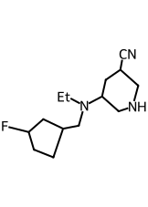 CCN(CC1CCC(F)C1)C1CNCC(C#N)C1